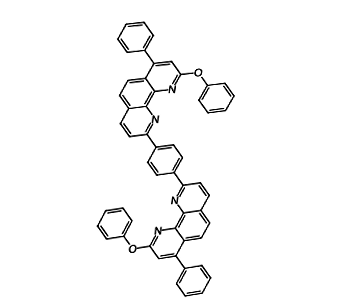 c1ccc(Oc2cc(-c3ccccc3)c3ccc4ccc(-c5ccc(-c6ccc7ccc8c(-c9ccccc9)cc(Oc9ccccc9)nc8c7n6)cc5)nc4c3n2)cc1